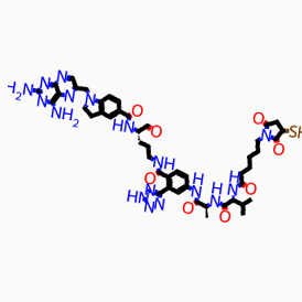 CC(C)[C@H](NC(=O)CCCCCN1C(=O)CC(S)C1=O)C(=O)N[C@@H](C)C(=O)Nc1ccc(C(=O)NCCC[C@@H](C=O)NC(=O)c2ccc3c(c2)CCN3Cc2cnc3nc(N)nc(N)c3n2)c(-c2nn[nH]n2)c1